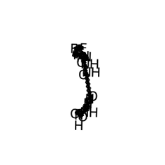 O=C(CCCCCCCCCCC(=O)N1CCN(c2ccc(NC3CCC(=O)NC3=O)cc2)CC1)NCCCNC(=O)c1cnn2ccc(N3CCC[C@@H]3c3cc(F)ccc3F)nc12